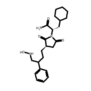 NC(=O)[C@H](CC1CCCCC1)N1C(=O)C[C@@H](CCC(CNO)c2ccccc2)C1=O